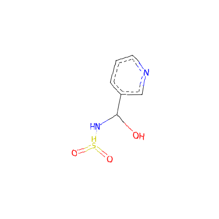 O=[SH](=O)NC(O)c1cccnc1